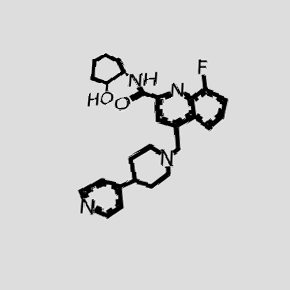 O=C(N[C@H]1CCCC[C@@H]1O)c1cc(CN2CCC(c3ccncc3)CC2)c2cccc(F)c2n1